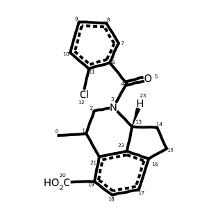 CC1CN(C(=O)c2ccccc2Cl)[C@@H]2CCc3ccc(C(=O)O)c1c32